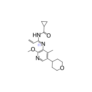 C=C/C(=N\c1c(OC)ncc(C2CCOCC2)c1C)NC(=O)C1CC1